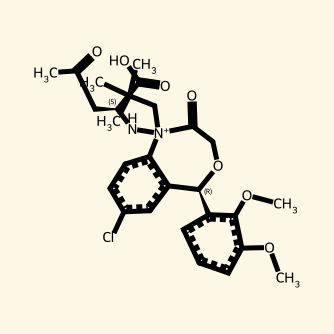 COc1cccc([C@@H]2OCC(=O)[N+](CC(C)(C)C)(N[C@@H](CC(C)=O)C(=O)O)c3ccc(Cl)cc32)c1OC